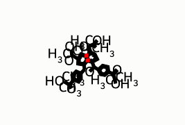 CC(C)(O)C(=O)c1ccc(C(OC(c2ccc(C(=O)C(C)(C)O)cc2)c2cccc(C(=O)C(C)(C)O)c2)c2ccc(C(=O)C(C)(C)O)cc2)cc1